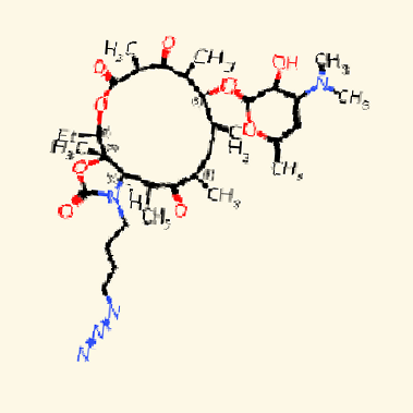 CC[C@H]1OC(=O)C(C)C(=O)C(C)[C@@H](OC2OC(C)CC(N(C)C)C2O)C(C)C[C@@H](C)C(=O)C(C)[C@H]2N(CCCCN=[N+]=[N-])C(=O)O[C@]12C